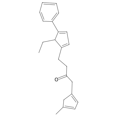 CCC1C(CCC(=O)CC2=CC=C(C)C2)=CC=C1c1ccccc1